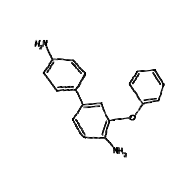 Nc1ccc(-c2ccc(N)c(Oc3ccccc3)c2)cc1